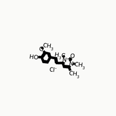 COc1cc(C=Cc2cc(C)n(C)c(=O)[n+]2C)ccc1O.[Cl-]